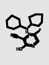 C1CCC(NC2CCCCC2)CC1.N#Cc1nc(F)cnc1O